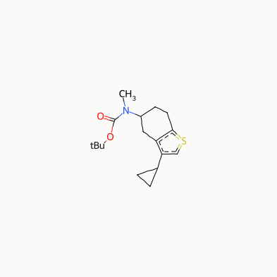 CN(C(=O)OC(C)(C)C)C1CCc2scc(C3CC3)c2C1